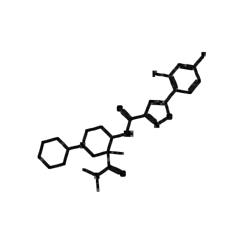 CN(C)C(=O)C1(C)CN(C2CCCCC2)CCC1NC(=O)c1cc(-c2ccc(F)cc2F)on1